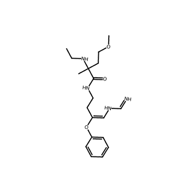 CCNC(C)(CCOC)C(=O)NCCC(=CNC=N)Oc1ccccc1